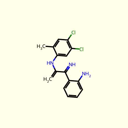 C=C(Nc1cc(Cl)c(Cl)cc1C)C(=N)c1ccccc1N